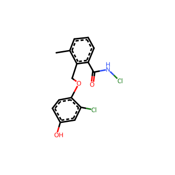 Cc1cccc(C(=O)NCl)c1COc1ccc(O)cc1Cl